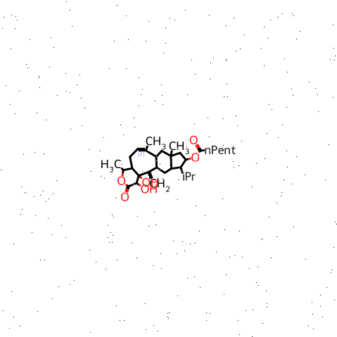 C=C1C2CC3C(C(C)C)C(OC(=O)CCCCC)CC3(C)CC2/C(C)=C\CC2C(C)OC(=O)C(O)C12O